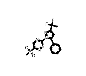 CS(=O)(=O)c1cnc(-n2nc(C(F)(F)F)cc2-c2ccccc2)nn1